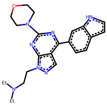 CCN(CC)CCn1ncc2c(-c3ccc4cc[nH]c4c3)nc(N3CCOCC3)nc21